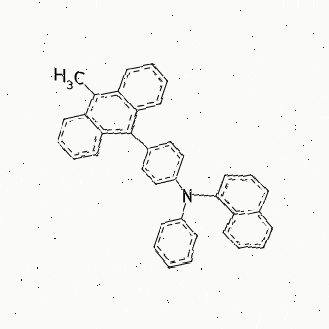 Cc1c2ccccc2c(-c2ccc(N(c3ccccc3)c3cccc4ccccc34)cc2)c2ccccc12